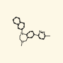 Cc1ccc(-c2ccc3c(c2)CN(C)CCN3c2ccc3ccccc3c2)nn1